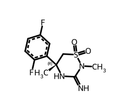 CN1C(=N)N[C@](C)(c2cc(F)ccc2F)CS1(=O)=O